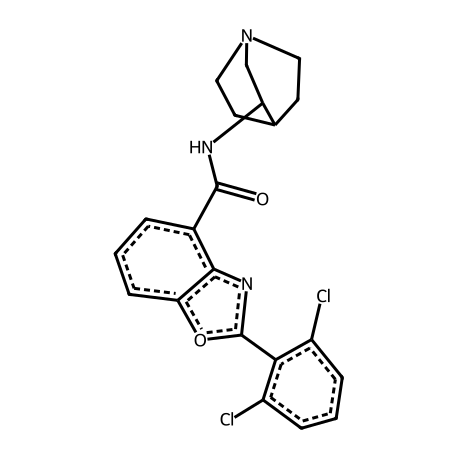 O=C(NC1CN2CCC1CC2)c1cccc2oc(-c3c(Cl)cccc3Cl)nc12